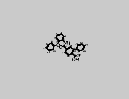 O=C(Nc1ccccc1Oc1ccccc1)c1ccc(C(=O)O)c(-c2ccccc2)c1